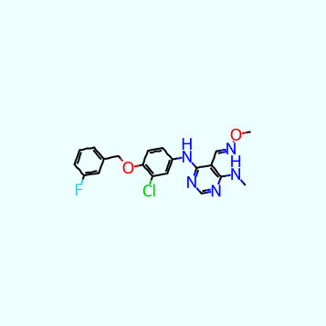 CNc1ncnc(Nc2ccc(OCc3cccc(F)c3)c(Cl)c2)c1C=NOC